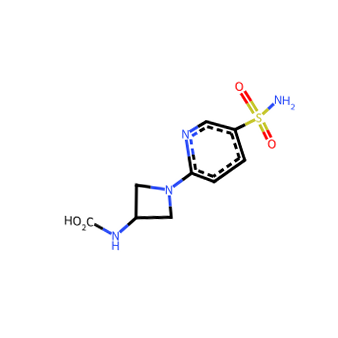 NS(=O)(=O)c1ccc(N2CC(NC(=O)O)C2)nc1